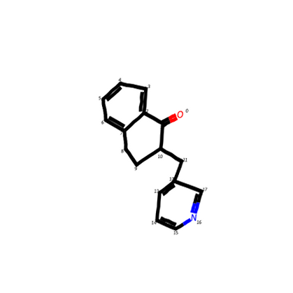 O=C1c2ccccc2CCC1Cc1cccnc1